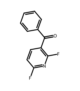 O=C(c1ccccc1)c1ccc(F)nc1F